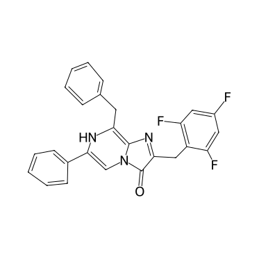 O=c1c(Cc2c(F)cc(F)cc2F)nc2c(Cc3ccccc3)[nH]c(-c3ccccc3)cn1-2